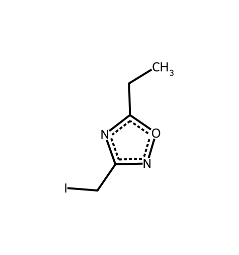 CCc1nc(CI)no1